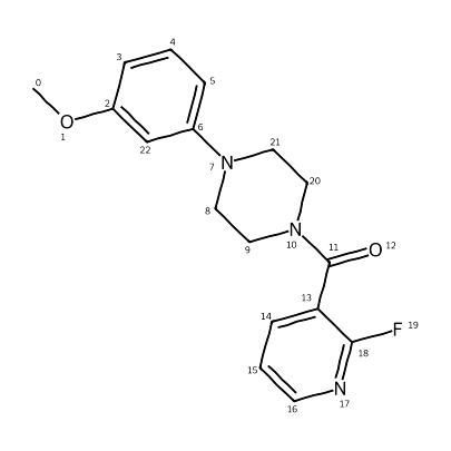 COc1cccc(N2CCN(C(=O)c3cccnc3F)CC2)c1